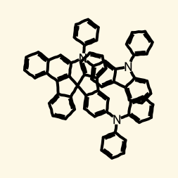 c1ccc(N(c2ccccc2)c2ccc3c(c2)-c2ccccc2C32c3ccccc3-c3c2c(N(c2ccccc2)c2ccc4c5ccccc5n(-c5ccccc5)c4c2)cc2ccccc32)cc1